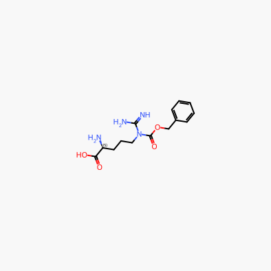 N=C(N)N(CCC[C@H](N)C(=O)O)C(=O)OCc1ccccc1